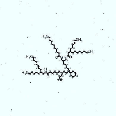 CCCCCCCCCCC(=O)OCC(CCCCN(CCN(CCO)CCCCCC(=O)NCC(CCCCCC)CCCCCCCC)C1CCCCC1)COC(=O)CC(CCCCCC)CCCCCCCC